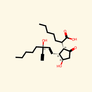 C#C[C@@](O)(C=C[C@H]1[C@H](O)CC(=O)[C@H]1C(CCCCC)C(=O)O)CCCCC